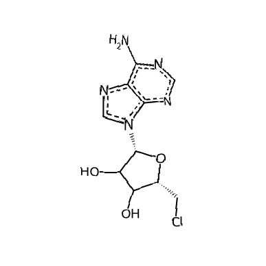 Nc1ncnc2c1ncn2[C@@H]1O[C@H](CCl)C(O)C1O